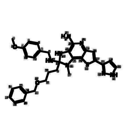 COc1ccc(CNC2(CCCOCc3ccccc3)Nc3c(N)nc4cc(-c5cc[nH]n5)sc4c3N2C)cc1